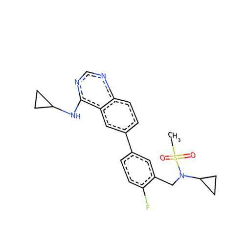 CS(=O)(=O)N(Cc1cc(-c2ccc3ncnc(NC4CC4)c3c2)ccc1F)C1CC1